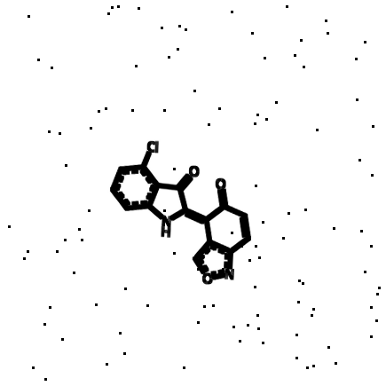 O=C1C=Cc2nocc2/C1=C1\Nc2cccc(Cl)c2C1=O